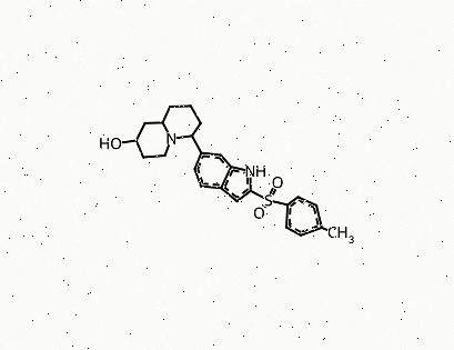 Cc1ccc(S(=O)(=O)c2cc3ccc(C4CCCC5CC(O)CCN54)cc3[nH]2)cc1